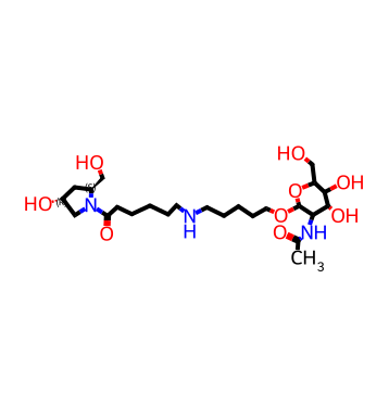 CC(=O)NC1C(OCCCCCNCCCCCC(=O)N2C[C@H](O)C[C@H]2CO)OC(CO)C(O)C1O